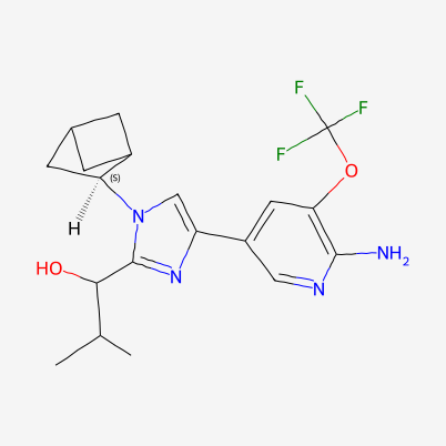 CC(C)C(O)c1nc(-c2cnc(N)c(OC(F)(F)F)c2)cn1[C@H]1CC2CC1C2